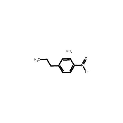 CCCc1ccc([N+](=O)[O-])cc1.N